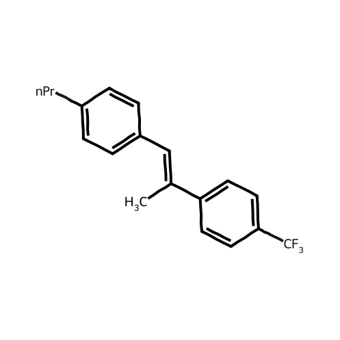 CCCc1ccc(/C=C(\C)c2ccc(C(F)(F)F)cc2)cc1